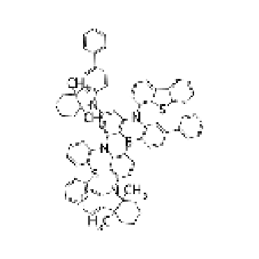 CC12CCCCC1(C)N(c1ccc3c(c1)N(c1cccc4c1sc1ccccc14)c1cc(N4c5ccc(-c6ccccc6)cc5C5(C)CCCCC45C)cc4c1B3c1ccc(-c3ccccc3)cc1N4c1cccc3c1sc1ccccc13)c1ccccc12